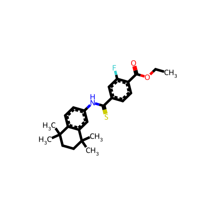 CCOC(=O)c1ccc(C(=S)Nc2ccc3c(c2)C(C)(C)CCC3(C)C)cc1F